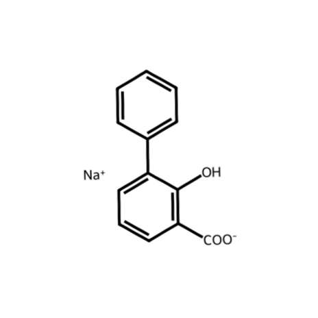 O=C([O-])c1cccc(-c2ccccc2)c1O.[Na+]